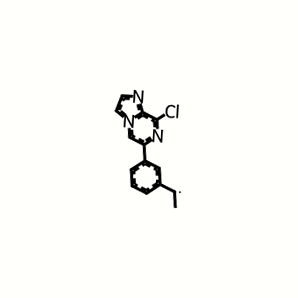 C[CH]c1cccc(-c2cn3ccnc3c(Cl)n2)c1